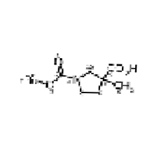 CC(C)(C)OC(=O)N1CCC(C)(C(=O)O)C1